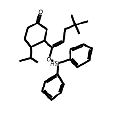 CC(C)C1CCC(=O)CC1C(=CCC(C)(C)C)O[SiH](c1ccccc1)c1ccccc1